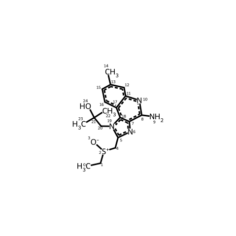 CC[S+]([O-])Cc1nc2c(N)nc3cc(C)ccc3c2n1CC(C)(C)O